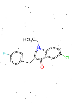 O=C(O)Cn1cc(Cc2ccc(F)cc2)c(=O)c2cc(Cl)ccc21